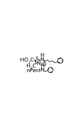 CCCCCNCc1ccccc1.Cc1nc(NC(=O)CCCCc2ccccc2)sc1C(=O)O